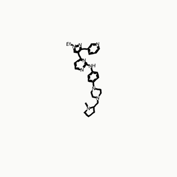 CCn1cc(-c2ccnc(Nc3ccc(N4CCN(CC5CCCN5C)CC4)cc3)n2)c(-c2cccnc2)n1